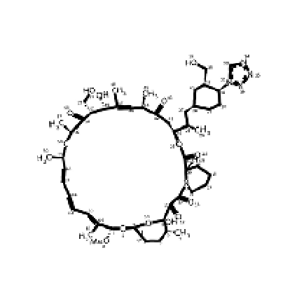 CO[C@H]1C[C@@H]2CC[C@@H](C)[C@@](O)(O2)C(=O)C(=O)N2CCCC[C@H]2C(=O)O[C@H]([C@H](C)C[C@@H]2CC[C@H](n3cnnn3)[C@H](CO)C2)CC(=O)[C@H](C)/C=C(\C)[C@@H](O)[C@@H](CO)C(=O)[C@H](C)C[C@H](C)/C=C/C=C/C=C/1C